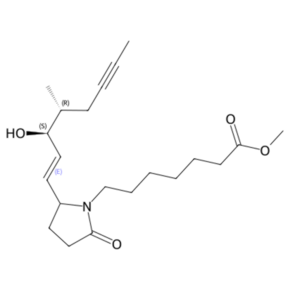 CC#CC[C@@H](C)[C@H](O)/C=C/C1CCC(=O)N1CCCCCCC(=O)OC